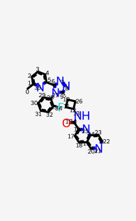 Cc1cccc(-c2nnc([C@H]3C[C@H](NC(=O)c4ccc5cnccc5n4)C3)n2-c2ccccc2F)n1